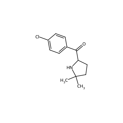 CC1(C)CCC(C(=O)c2ccc(Cl)cc2)N1